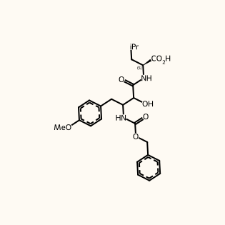 COc1ccc(CC(NC(=O)OCc2ccccc2)C(O)C(=O)N[C@@H](CC(C)C)C(=O)O)cc1